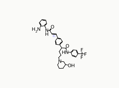 Nc1ccccc1NC(=O)/C=C/c1ccc(C(CCCN2CCCC(O)C2)C(=O)Nc2ccc(C(F)(F)F)cc2)cc1